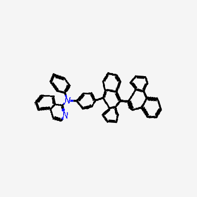 c1ccc(N(c2ccc(-c3c4ccccc4c(-c4cc5ccccc5c5ccccc45)c4ccccc34)cc2)c2nccc3ccccc23)cc1